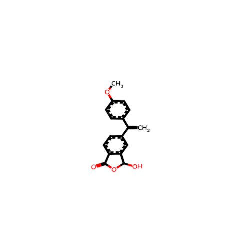 C=C(c1ccc(OC)cc1)c1ccc2c(c1)C(O)OC2=O